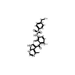 Cc1ncnc2[nH]cc(C(=O)c3c(F)ccc(NS(=O)(=O)c4ccc(CF)cc4)c3F)c12